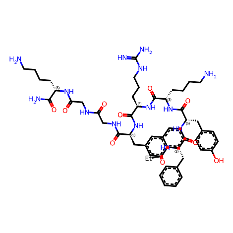 CCC(=O)N[C@@H](Cc1ccccc1)C(=O)N[C@@H](Cc1ccc(O)cc1)C(=O)N[C@@H](CCCCN)C(=O)N[C@H](CCCNC(=N)N)C(=O)N[C@@H](Cc1ccc2ccccc2c1)C(=O)NCC(=O)NCC(=O)N[C@@H](CCCCN)C(N)=O